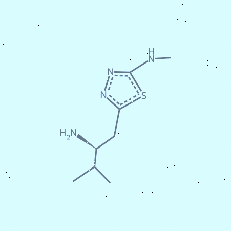 CNc1nnc(C[C@H](N)C(C)C)s1